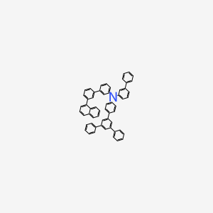 c1ccc(-c2cc(-c3ccccc3)cc(-c3ccc(N(c4cccc(-c5ccccc5)c4)c4cccc(-c5cccc(-c6cccc7ccccc67)c5)c4)cc3)c2)cc1